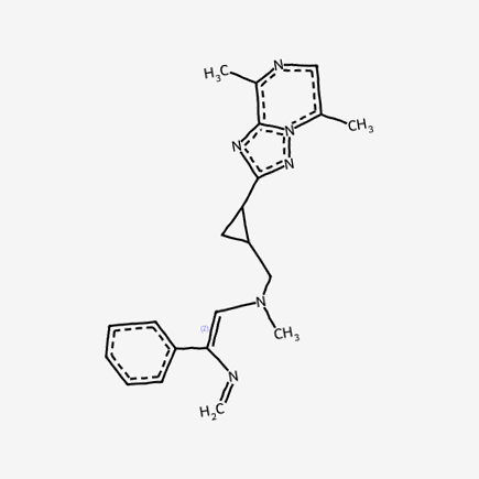 C=N/C(=C\N(C)CC1CC1c1nc2c(C)ncc(C)n2n1)c1ccccc1